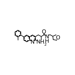 Cc1ccccc1-c1ccc2nc(N)c(CC(C)C(=O)NCC3CCOC3)cc2c1